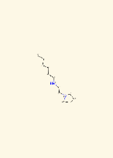 CCCCCCNCCN1CCCC1